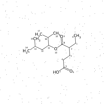 CCC(CCC(=O)O)C(=O)OC(CC(C)C)C(C)C